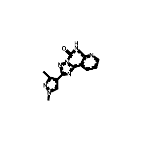 Cc1nn(C)cc1-c1nc2c3cccnc3[nH]c(=O)n2n1